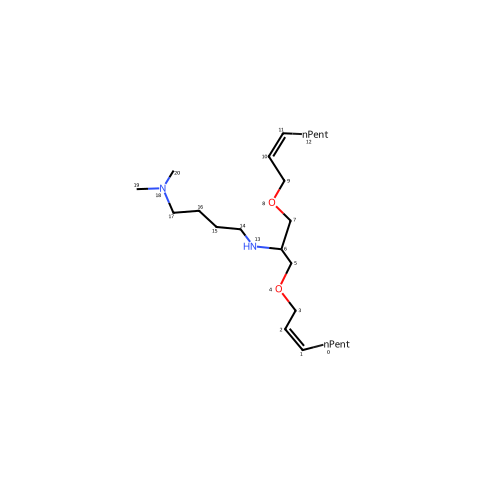 CCCCC/C=C\COCC(COC/C=C\CCCCC)NCCCCN(C)C